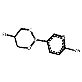 CCC1COB(c2ccc(C#N)nc2)OC1